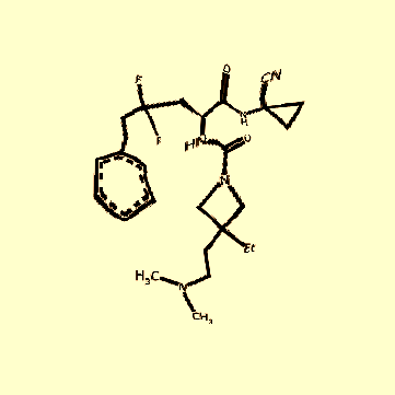 CCC1(CCN(C)C)CN(C(=O)N[C@@H](CC(F)(F)Cc2ccccc2)C(=O)NC2(C#N)CC2)C1